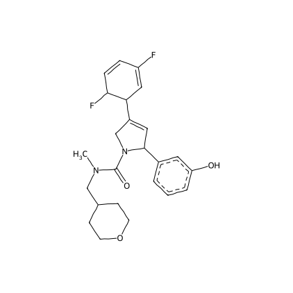 CN(CC1CCOCC1)C(=O)N1CC(C2C=C(F)C=CC2F)=CC1c1cccc(O)c1